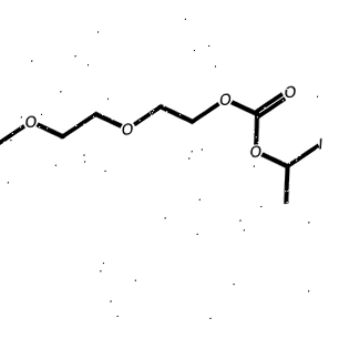 COCCOCCOC(=O)OC(C)I